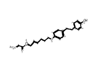 C=CC(=O)OCCCCCCOc1ccc(CCc2ccc(O)cc2)cc1